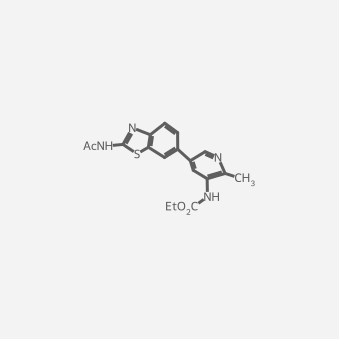 CCOC(=O)Nc1cc(-c2ccc3nc(NC(C)=O)sc3c2)cnc1C